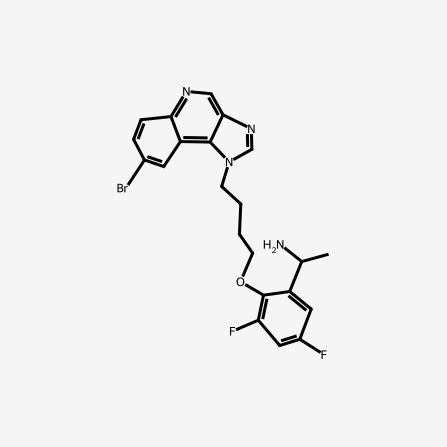 CC(N)c1cc(F)cc(F)c1OCCCCn1cnc2cnc3ccc(Br)cc3c21